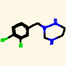 Clc1ccc(CN2CNCCN2)cc1Cl